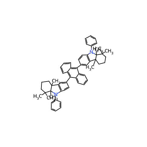 CC1(C)CCCC2(C)c3cc(-c4c5ccccc5c(-c5ccc6c(c5)C5(C)CCCC(C)(C)C5(C)N6c5ccccc5)c5ccccc45)ccc3N(c3ccccc3)C12C